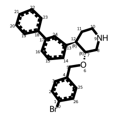 Brc1ccc(CO[C@H]2CNCC[C@@H]2c2cccc(-c3ccccc3)c2)cc1